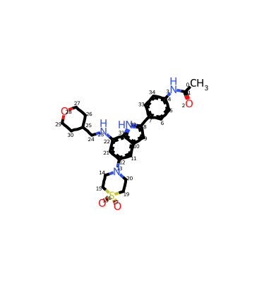 CC(=O)Nc1ccc(-c2cc3cc(N4CCS(=O)(=O)CC4)cc(NCC4CCOCC4)c3[nH]2)cc1